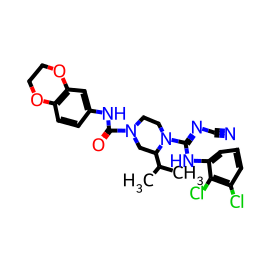 CC(C)C1CN(C(=O)Nc2ccc3c(c2)OCCO3)CCN1/C(=N/C#N)Nc1cccc(Cl)c1Cl